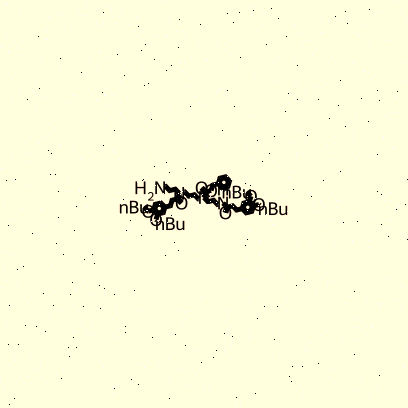 CCCCOc1ccc(CCC(=O)NCCCN(CCCCN(CCCN)C(=O)CCc2ccc(OCCCC)c(OCCCC)c2)C(=O)OCc2ccccc2)cc1OCCCC